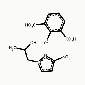 CC(O)Cn1ccc([N+](=O)[O-])n1.Cc1c(C(=O)O)cccc1C(=O)O